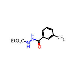 CCOC(=O)NNC(=O)c1cccc(C(F)(F)F)c1